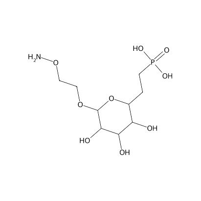 NOCCOC1OC(CCP(=O)(O)O)C(O)C(O)C1O